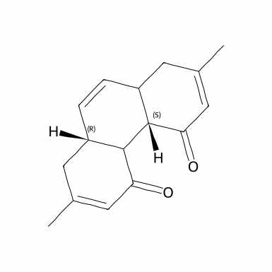 CC1=CC(=O)[C@H]2C(C=C[C@H]3CC(C)=CC(=O)C23)C1